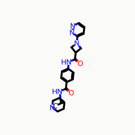 O=C(NC1CN2CCC1CC2)c1ccc(NC(=O)C2CN(c3cccnn3)C2)cc1